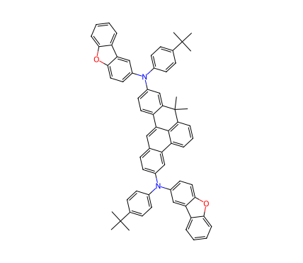 CC(C)(C)c1ccc(N(c2ccc3c(c2)C(C)(C)c2cccc4c2c-3cc2ccc(N(c3ccc(C(C)(C)C)cc3)c3ccc5oc6ccccc6c5c3)cc24)c2ccc3oc4ccccc4c3c2)cc1